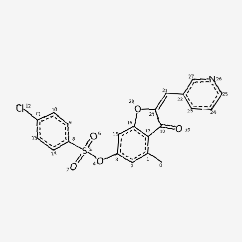 Cc1cc(OS(=O)(=O)c2ccc(Cl)cc2)cc2c1C(=O)C(=Cc1cccnc1)O2